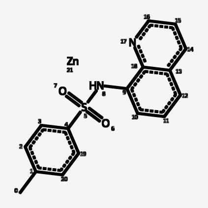 Cc1ccc(S(=O)(=O)Nc2cccc3cccnc23)cc1.[Zn]